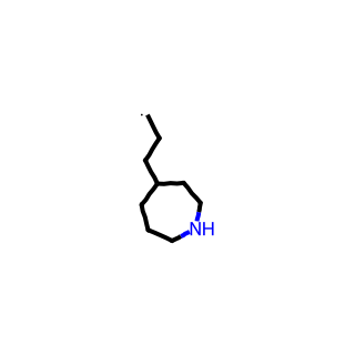 [CH2]CCC1CCCNCC1